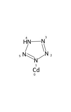 [Cd].n1nn[nH]n1